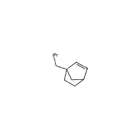 CC(C)[CH]C12C=CC(CC1)C2